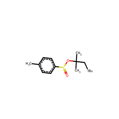 Cc1ccc(S(=O)OC(C)(C)CC(C)(C)C)cc1